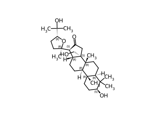 CC(C)(O)[C@H]1CC[C@](C)([C@H]2C(=O)C[C@]3(CO)[C@@H]2CC[C@@H]2[C@@]4(C)CC[C@H](O)C(C)(C)[C@@H]4CC[C@]23C)O1